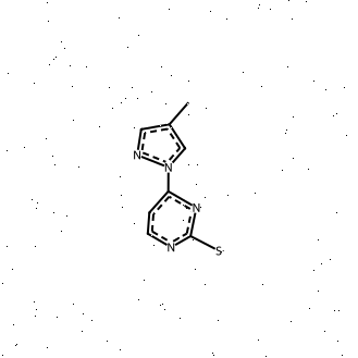 Cc1cnn(-c2ccnc([S])n2)c1